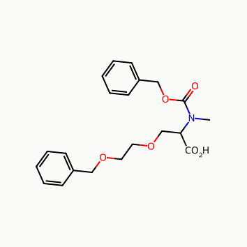 CN(C(=O)OCc1ccccc1)C(COCCOCc1ccccc1)C(=O)O